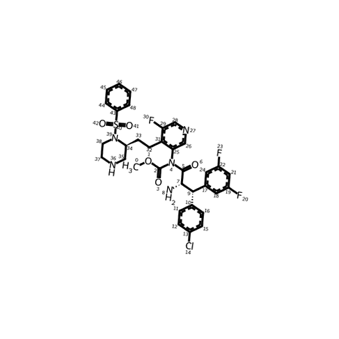 COC(=O)N(C(=O)[C@@H](N)[C@@H](c1ccc(Cl)cc1)c1cc(F)cc(F)c1)c1cncc(F)c1CC[C@H]1CNCCN1S(=O)(=O)c1ccccc1